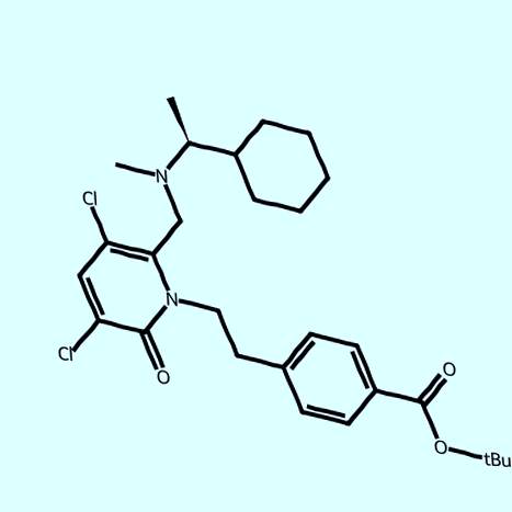 C[C@@H](C1CCCCC1)N(C)Cc1c(Cl)cc(Cl)c(=O)n1CCc1ccc(C(=O)OC(C)(C)C)cc1